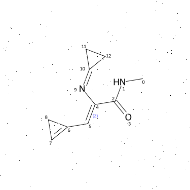 CNC(=O)/C(=C/C1=CC1)N=C1CC1